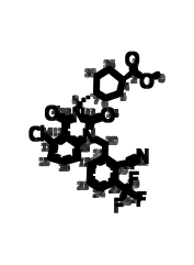 COC(=O)[C@H]1CC[C@H](Cn2c(=O)c3c(Cl)cccc3n(Cc3cccc(C(F)(F)F)c3C#N)c2=O)CC1